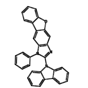 c1ccc(-n2c(-n3c4ccccc4c4ccccc43)nc3cc4oc5ccccc5c4cc32)cc1